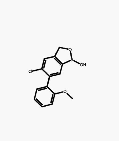 COc1ccccc1-c1cc2c(cc1Cl)COB2O